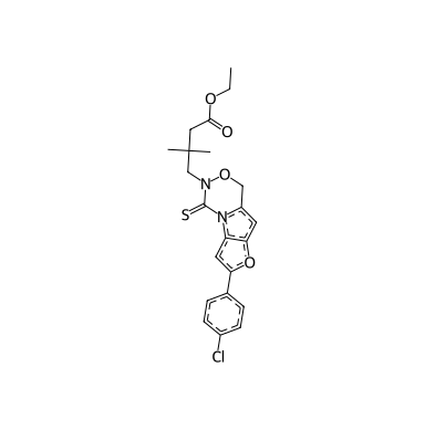 CCOC(=O)CC(C)(C)CN1OCc2cc3oc(-c4ccc(Cl)cc4)cc3n2C1=S